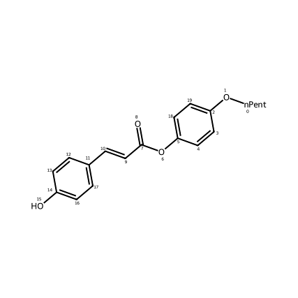 CCCCCOc1ccc(OC(=O)/C=C/c2ccc(O)cc2)cc1